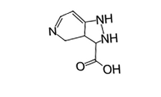 O=C(O)C1NNC2=CC=NCC21